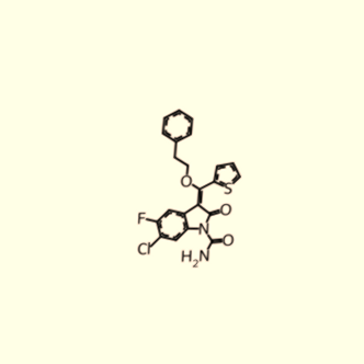 NC(=O)N1C(=O)/C(=C(/OCCc2ccccc2)c2cccs2)c2cc(F)c(Cl)cc21